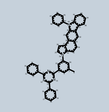 Cc1cc(-c2nc(-c3ccccc3)nc(-c3ccccc3)n2)cc(-n2ccc3c4cc5c(cc4ccc32)c2ccccc2n5-c2ccccc2)c1